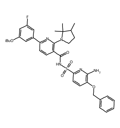 CC(C)COc1cc(F)cc(-c2ccc(C(=O)NS(=O)(=O)c3ccc(OCc4ccccc4)c(N)n3)c(N3CCC(C)C3(C)C)n2)c1